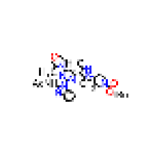 CC(=O)Nc1nc2ccccc2n1-c1nc(-c2c(C)nn(C3CCN(C(=O)OC(C)(C)C)CC3)c2C(F)(F)F)cc(N2CCOC[C@H]2C)n1